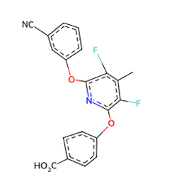 Cc1c(F)c(Oc2ccc(C(=O)O)cc2)nc(Oc2cccc(C#N)c2)c1F